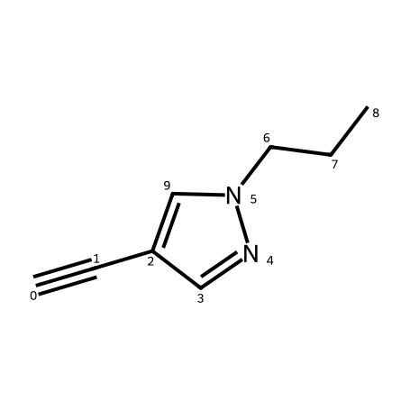 C#Cc1cnn(CCC)c1